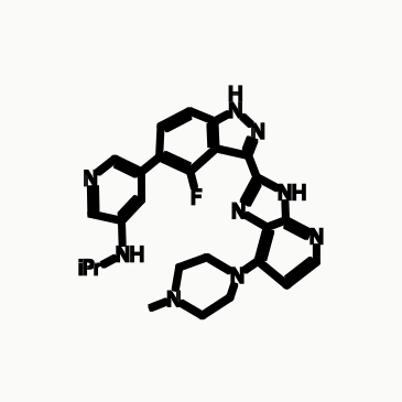 CC(C)Nc1cncc(-c2ccc3[nH]nc(-c4nc5c(N6CCN(C)CC6)ccnc5[nH]4)c3c2F)c1